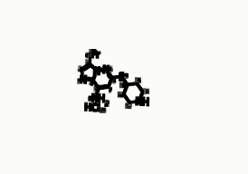 CC(C)c1cnc2c(N)cc(SC3CCNCC3)nn12.Cl